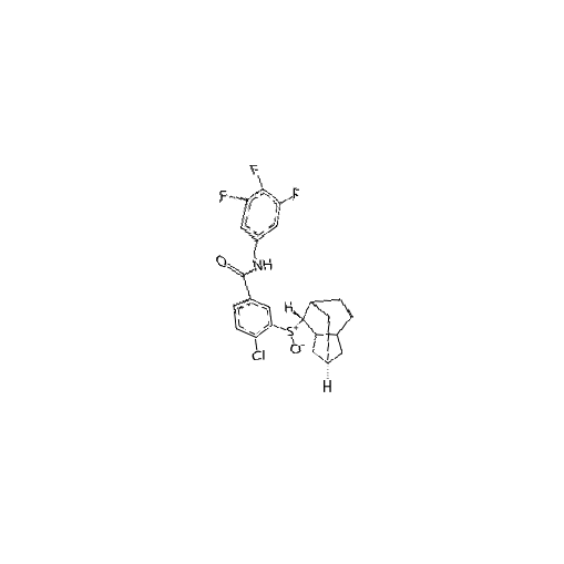 O=C(Nc1cc(F)c(F)c(F)c1)c1ccc(Cl)c([S+]([O-])[C@@H]2C3CCC4C[C@H](C3)CC42)c1